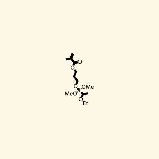 C=C(C)C(=O)OCCCO[Si](OC)(OC)C(C)OCC